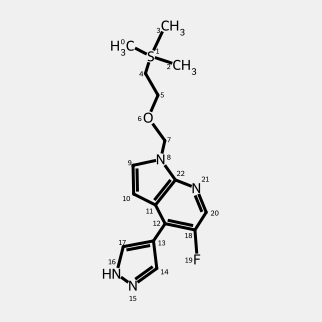 CS(C)(C)CCOCn1ccc2c(-c3cn[nH]c3)c(F)cnc21